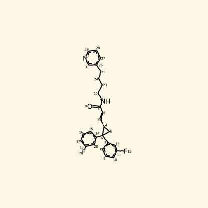 O=C(/C=C/[C@H]1CC1(c1cccc(F)c1)c1cccc(F)c1)NCCCCc1cccnc1